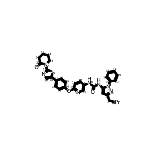 CC(C)Cc1cc(NC(=O)Nc2ccc(Oc3ccc(-c4cnc(N5CCCCC5=O)s4)cc3)nc2)n(-c2ccccc2)n1